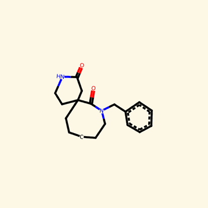 O=C1CC2(CCCCCN(Cc3ccccc3)C2=O)CCN1